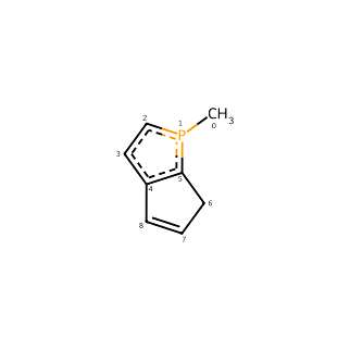 Cp1ccc2c1CC=C2